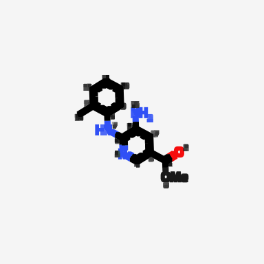 COC(=O)c1cnc(Nc2ccccc2C)c(N)c1